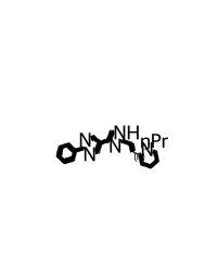 CCCN1CCCC[C@@H]1C=Cc1nc(-c2cnc(-c3ccccc3)nc2)c[nH]1